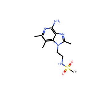 Cc1nc(N)c2nc(C)n(CCNS(=O)(=O)C(C)C)c2c1C